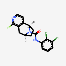 O=C(Nc1cccc(Cl)c1Cl)N1[C@H]2CC[C@@H]1c1ccnc(F)c1C2